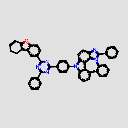 C1=Cc2oc3ccc(-c4nc(-c5ccccc5)nc(-c5ccc(-n6c7cccc8c9ccccc9n9c(-c%10ccccc%10)nc%10ccc6c(c87)c%109)cc5)n4)cc3c2CC1